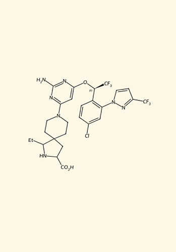 CCC1NC(C(=O)O)CC12CCN(c1cc(O[C@H](c3ccc(Cl)cc3-n3ccc(C(F)(F)F)n3)C(F)(F)F)nc(N)n1)CC2